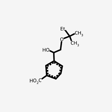 CCC(C)(C)OCC(O)c1cccc(C(=O)O)c1